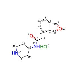 Cl.O=C(Cc1cccc2cocc12)NC1CCNCC1